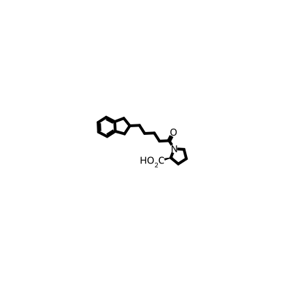 O=C(O)[C@@H]1CCCN1C(=O)CCCCC1Cc2ccccc2C1